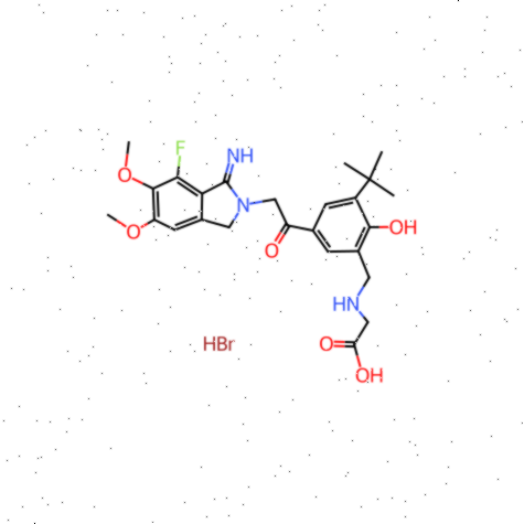 Br.COc1cc2c(c(F)c1OC)C(=N)N(CC(=O)c1cc(CNCC(=O)O)c(O)c(C(C)(C)C)c1)C2